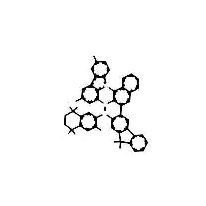 Cc1cc2c(cc1N1B3c4c(cc5ccccc5c4-n4c5ccc(C(C)(C)C)cc5c5cc(C(C)(C)C)cc3c54)-c3cc4c(cc31)C(C)(C)c1ccccc1-4)C(C)(C)CCC2(C)C